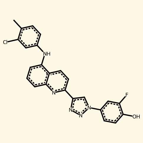 Cc1ccc(Nc2cccc3nc(-c4cn(-c5ccc(O)c(F)c5)nn4)ccc23)cc1Cl